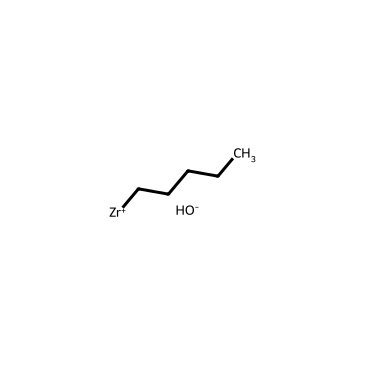 CCCC[CH2][Zr+].[OH-]